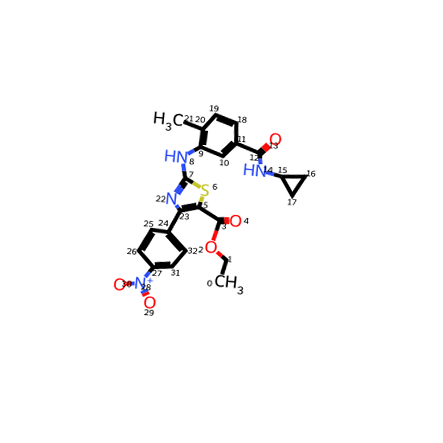 CCOC(=O)c1sc(Nc2cc(C(=O)NC3CC3)ccc2C)nc1-c1ccc([N+](=O)[O-])cc1